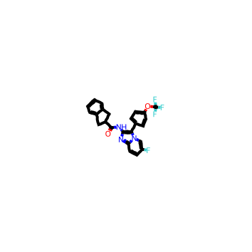 O=C(Nc1nc2ccc(F)cn2c1-c1ccc(OC(F)(F)F)cc1)C1Cc2ccccc2C1